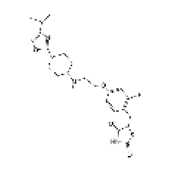 CC(C)c1noc(N2CCC(N(C)CCOc3ccc(CC4SC(=O)NC4=O)c(F)c3)CC2)n1